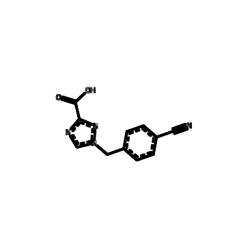 N#Cc1ccc(Cn2cnc(C(=O)O)n2)cc1